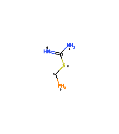 N=C(N)SCP